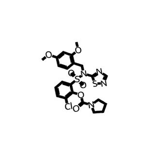 COc1ccc(CN(c2ncns2)S(=O)(=O)c2cccc(Cl)c2OC(=O)N2CCCC2)c(OC)c1